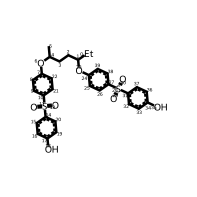 CCC(CCC(C)Oc1ccc(S(=O)(=O)c2ccc(O)cc2)cc1)Oc1ccc(S(=O)(=O)c2ccc(O)cc2)cc1